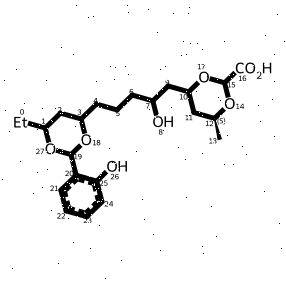 CCC1CC(CCCC(O)CC2C[C@H](C)OC(C(=O)O)O2)OC(c2ccccc2O)O1